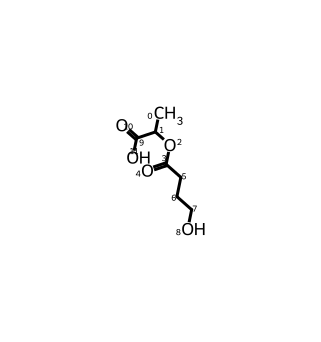 CC(OC(=O)CCCO)C(=O)O